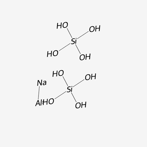 O[Si](O)(O)O.O[Si](O)(O)O.[Na][Al]